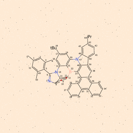 Cc1cc(C)c(-c2nc3cccc4c3n2-c2cc(C(C)(C)C)cc3c2B4c2c4c5ccccc5c5ccccc5c4cc4c5ccc(C(C)C)cc5n-3c24)c(C)c1